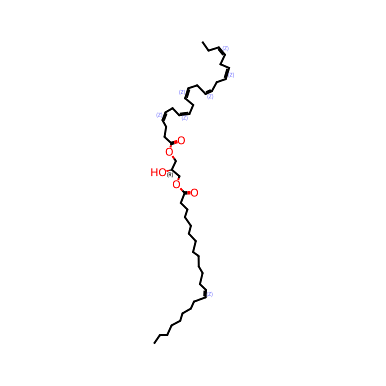 CC/C=C\C/C=C\C/C=C\C/C=C\C/C=C\C/C=C\CCC(=O)OC[C@H](O)COC(=O)CCCCCCCCCCC/C=C\CCCCCCCC